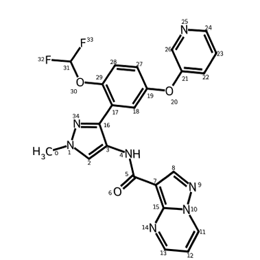 Cn1cc(NC(=O)c2cnn3cccnc23)c(-c2cc(Oc3cccnc3)ccc2OC(F)F)n1